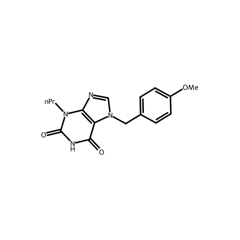 CCCn1c(=O)[nH]c(=O)c2c1ncn2Cc1ccc(OC)cc1